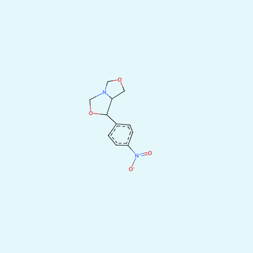 O=[N+]([O-])c1ccc(C2OCN3COCC23)cc1